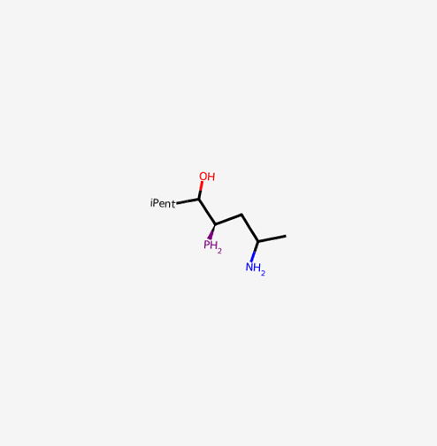 CCCC(C)C(O)[C@H](P)CC(C)N